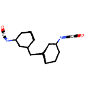 O=C=NC1CCCC(CC2CCCC(N=C=O)C2)C1